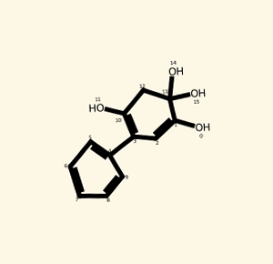 OC1=CC(c2ccccc2)=C(O)CC1(O)O